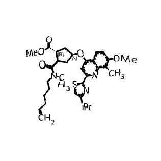 C=CCCCCN(C)C(=O)C1C[C@H](Oc2cc(-c3nc(C(C)C)cs3)nc3c(C)c(OC)ccc23)C[C@H]1C(=O)OC